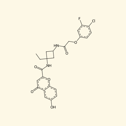 CCC1(NC(=O)c2cc(=O)c3cc(O)ccc3o2)CC(NC(=O)COc2ccc(Cl)c(F)c2)C1